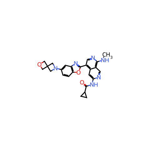 CNc1ncc(-c2nc3cc(N4CC5(COC5)C4)ccc3o2)c2cc(NC(=O)C3CC3)ncc12